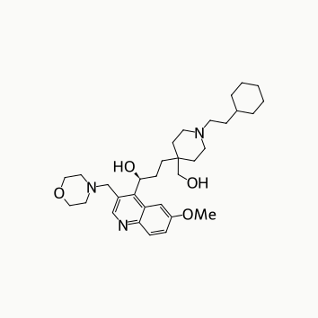 COc1ccc2ncc(CN3CCOCC3)c([C@@H](O)CCC3(CO)CCN(CCC4CCCCC4)CC3)c2c1